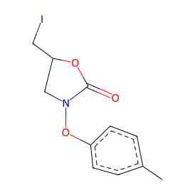 Cc1ccc(ON2CC(CI)OC2=O)cc1